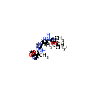 C[C@H](CNc1cc(-c2ccc(NCCN(C)C(=O)OC(C)(C)C)nc2)ncn1)c1ccnc2c1OCCO2